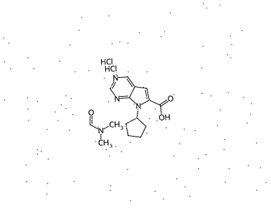 CN(C)C=O.Cl.Cl.O=C(O)c1cc2cncnc2n1C1CCCC1